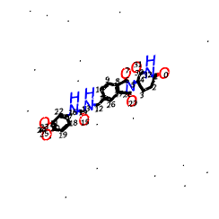 O=C1CCC(N2C(=O)c3ccc(CNC(=O)Nc4ccc5c(c4)OCO5)cc3C2=O)C(=O)N1